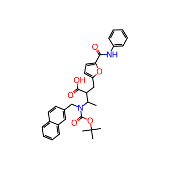 CC(C(Cc1ccc(C(=O)Nc2ccccc2)o1)C(=O)O)N(Cc1ccc2ccccc2c1)C(=O)OC(C)(C)C